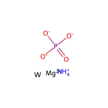 O=P([O-])([O-])[O-].[Mg+2].[NH4+].[W]